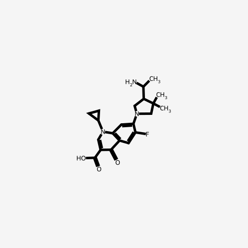 CC(N)C1CN(c2cc3c(cc2F)c(=O)c(C(=O)O)cn3C2CC2)CC1(C)C